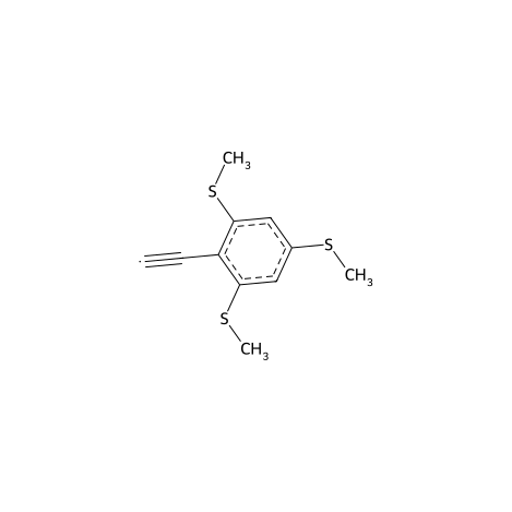 [C]#Cc1c(SC)cc(SC)cc1SC